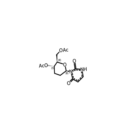 CC(=O)OC[C@H]1O[C@@H](n2c(=O)cc[nH]c2=O)CC[C@@H]1OC(C)=O